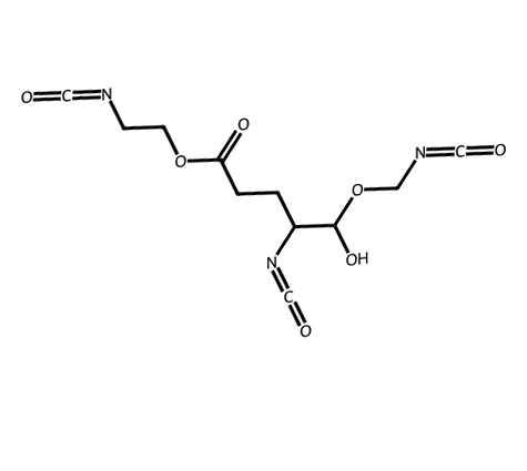 O=C=NCCOC(=O)CCC(N=C=O)C(O)OCN=C=O